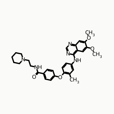 COc1cc2ncnc(Nc3ccc(Oc4ccc(C(=O)NCCN5CCCCC5)cc4)c(C)c3)c2cc1OC